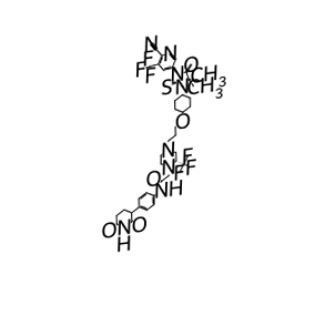 CC1(C)C(=O)N(c2cnc(C#N)c(C(F)(F)F)c2)C(=S)N1[C@H]1CC[C@H](OCCCN2CCN(CC(=O)Nc3ccc(C4CCC(=O)NC4=O)cc3)[C@@H](C(F)(F)F)C2)CC1